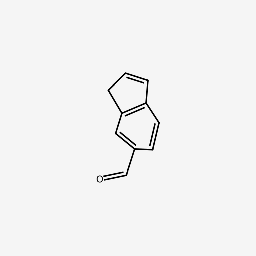 O=Cc1ccc2c(c1)CC=C2